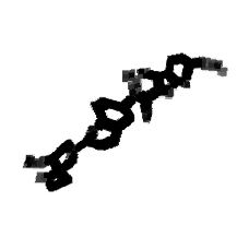 COC1CN(c2ccc3c(n2)CCC(NC(=O)c2sc4nc(C)ccc4c2N)C3)CC12CCN2